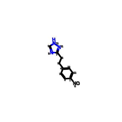 O=Nc1ccc(CCc2nc[nH]n2)cc1